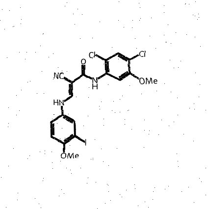 COc1cc(NC(=O)C(C#N)=CNc2ccc(OC)c(I)c2)c(Cl)cc1Cl